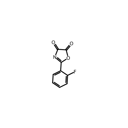 O=C1N=C(c2ccccc2F)OC1=O